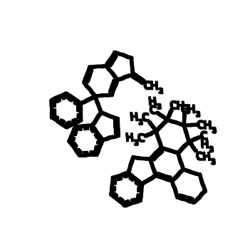 C=C1CC=C2C=CC(c3ccccc3)(C3C=Cc4ccccc43)C=C12.CC1(C)C2=C3Cc4ccccc4C3=C3C=CCCC3C2C(C)(C)C(C)(C)C1(C)C